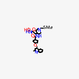 CSCCN1CCC(CC(=O)NO)(NC(=O)c2ccc(OCc3cc(C)nc4ccccc34)cc2)CC1